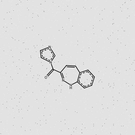 O=C(C1=NNc2ccccc2C=C1)n1ccnc1